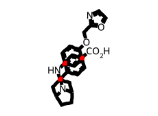 O=C(O)c1ccc(CN2C3CCC2CC(Nc2ccc(OCc4ncco4)cc2)C3)cc1